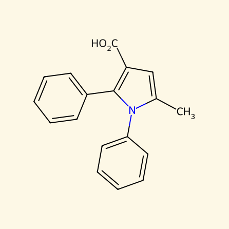 Cc1cc(C(=O)O)c(-c2ccccc2)n1-c1ccccc1